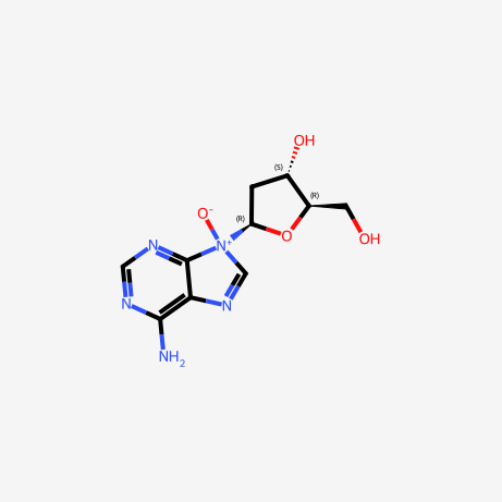 Nc1ncnc2c1N=C[N+]2([O-])[C@H]1C[C@H](O)[C@@H](CO)O1